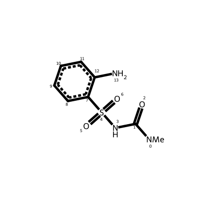 CNC(=O)NS(=O)(=O)c1ccccc1N